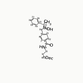 CCCCCCCCCCCCNC(=O)c1ccc(CN(O)C(C)c2ccccc2)cc1